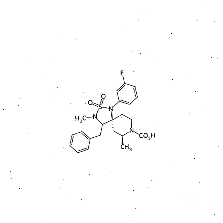 C[C@H]1C[C@]2(CCN1C(=O)O)C(Cc1ccccc1)N(C)S(=O)(=O)N2c1cccc(F)c1